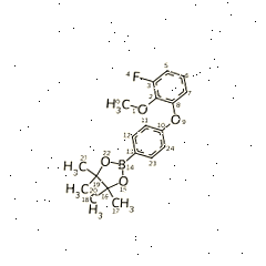 COc1c(F)cccc1Oc1ccc(B2OC(C)(C)C(C)(C)O2)cc1